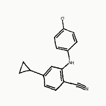 N#Cc1ccc(C2CC2)cc1Nc1ccc(Cl)cc1